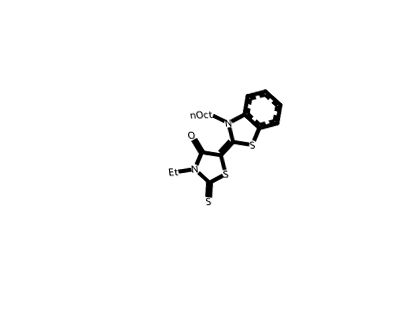 CCCCCCCCN1C(=C2SC(=S)N(CC)C2=O)Sc2ccccc21